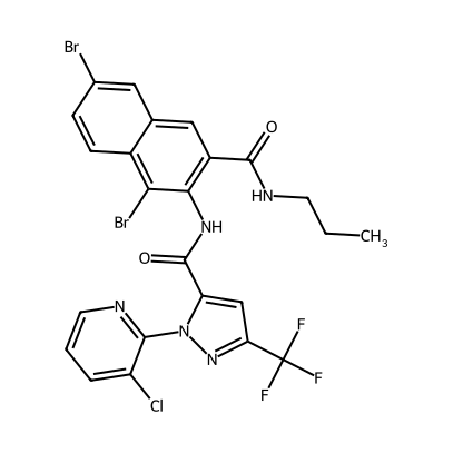 CCCNC(=O)c1cc2cc(Br)ccc2c(Br)c1NC(=O)c1cc(C(F)(F)F)nn1-c1ncccc1Cl